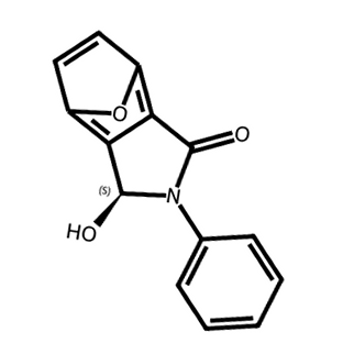 O=C1c2c(c3ccc2o3)[C@H](O)N1c1ccccc1